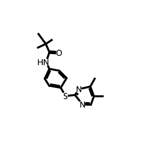 Cc1cnc(Sc2ccc(NC(=O)C(C)(C)C)cc2)nc1C